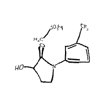 CS(=O)(=O)O.O=C1C(O)CCN1c1cccc(C(F)(F)F)c1